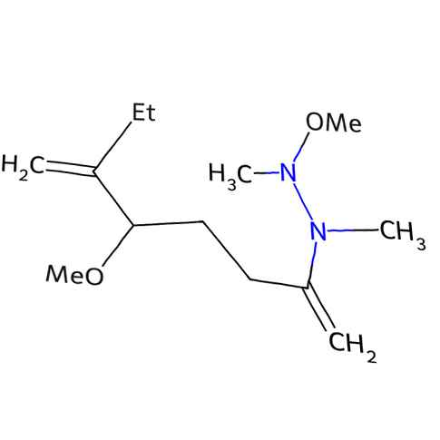 C=C(CC)C(CCC(=C)N(C)N(C)OC)OC